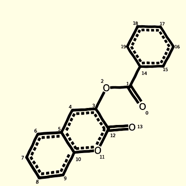 O=C(Oc1cc2ccccc2oc1=O)c1ccccc1